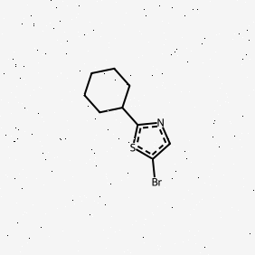 Brc1cnc(C2CCCCC2)s1